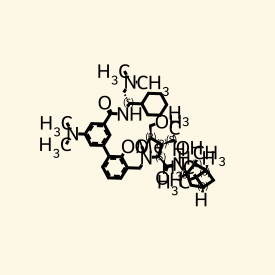 COc1c(CN2O[C@@H](CO)[C@@H]([C@H](C)O)[C@H]2C(=O)N[C@H]2C[C@H]3C[C@@H]([C@@H]2C)C3(C)C)cccc1-c1cc(C(=O)N[C@H](CN(C)C)C2CCCCC2)cc(N(C)C)c1